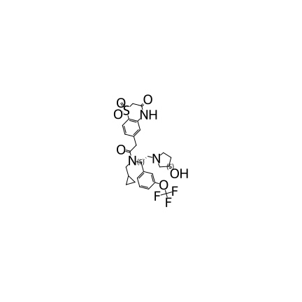 O=C1CS(=O)(=O)c2ccc(CC(=O)N(CC3CC3)[C@H](CN3CC[C@H](O)C3)c3cccc(OC(F)(F)F)c3)cc2N1